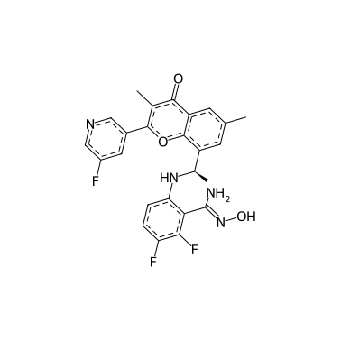 Cc1cc([C@@H](C)Nc2ccc(F)c(F)c2/C(N)=N/O)c2oc(-c3cncc(F)c3)c(C)c(=O)c2c1